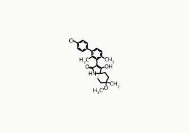 CO[C@]1(C)CC[C@]2(CC1)NC(=O)C(c1c(C)ccc(-c3ccc(Cl)cc3)c1C)=C2O